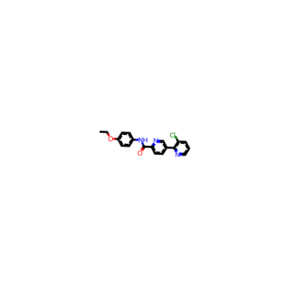 CCOc1ccc(NC(=O)c2ccc(-c3ncccc3Cl)cn2)cc1